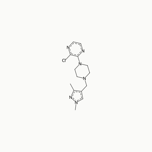 Cc1nn(C)cc1CN1CCN(c2nccnc2Cl)CC1